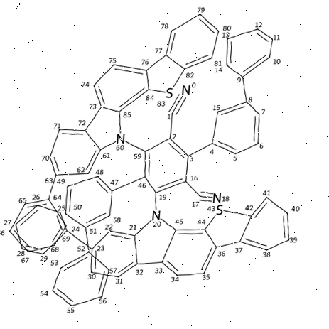 N#Cc1c(-c2cccc(-c3ccccc3)c2)c(C#N)c(-n2c3cc(-c4ccccc4)ccc3c3ccc4c5ccccc5sc4c32)c(-c2cccc(-c3ccccc3)c2)c1-n1c2cc(-c3ccccc3)ccc2c2ccc3c4ccccc4sc3c21